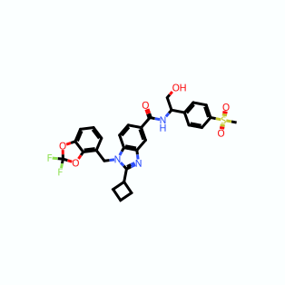 CS(=O)(=O)c1ccc(C(CO)NC(=O)c2ccc3c(c2)nc(C2CCC2)n3Cc2cccc3c2OC(F)(F)O3)cc1